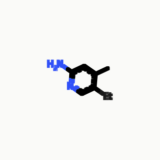 CCc1cnc(N)cc1C